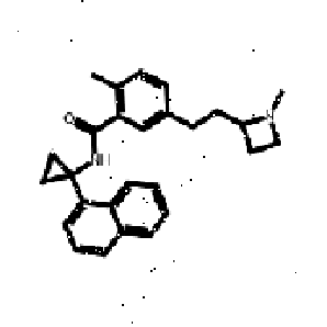 Cc1ccc(CCC2CCN2C)cc1C(=O)NC1(c2cccc3ccccc23)CC1